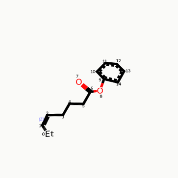 CC/C=C\CCCC(=O)Oc1ccccc1